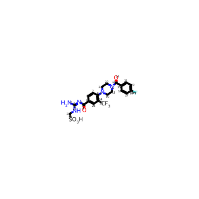 NC(=NC(=O)c1ccc(N2CCN(C(=O)c3ccc(F)cc3)CC2)c(C(F)(F)F)c1)NCS(=O)(=O)O